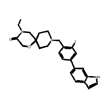 CCN1CC2(CCN(Cc3ccc(-c4ccc5cc[nH]c5c4)cc3F)CC2)OCC1=O